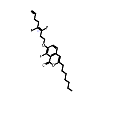 C=CCC/C(F)=C(\F)CCOc1ccc2cc(CCCCCCC)oc(=O)c2c1F